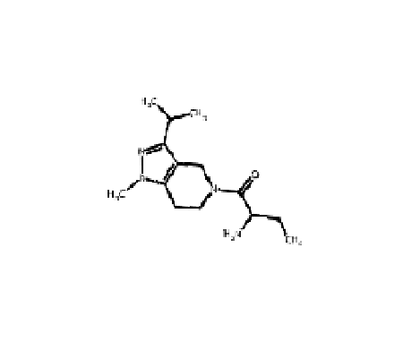 CCC(N)C(=O)N1CCc2c(c(C(C)C)nn2C)C1